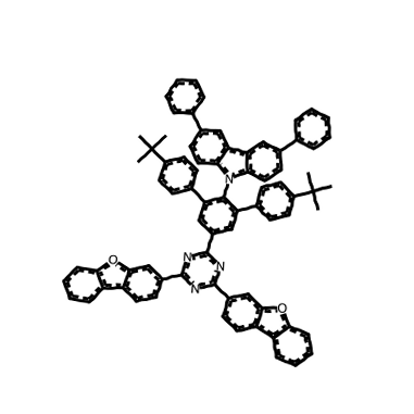 CC(C)(C)c1ccc(-c2cc(-c3nc(-c4ccc5c(c4)oc4ccccc45)nc(-c4ccc5c(c4)oc4ccccc45)n3)cc(-c3ccc(C(C)(C)C)cc3)c2-n2c3ccc(-c4ccccc4)cc3c3cc(-c4ccccc4)ccc32)cc1